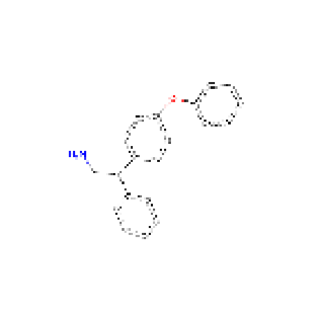 NCC(c1ccccc1)c1ccc(Oc2ccccc2)cc1